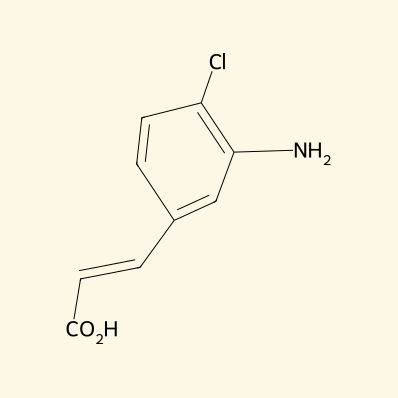 Nc1cc(C=CC(=O)O)ccc1Cl